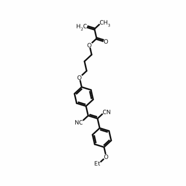 C=C(C)C(=O)OCCCOc1ccc(/C(C#N)=C(\C#N)c2ccc(OCC)cc2)cc1